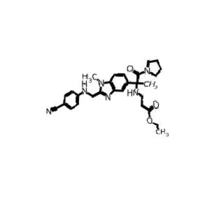 CCOC(=O)CCNC(C)(C(=O)N1CCCC1)c1ccc2c(c1)nc(CNc1ccc(C#N)cc1)n2C